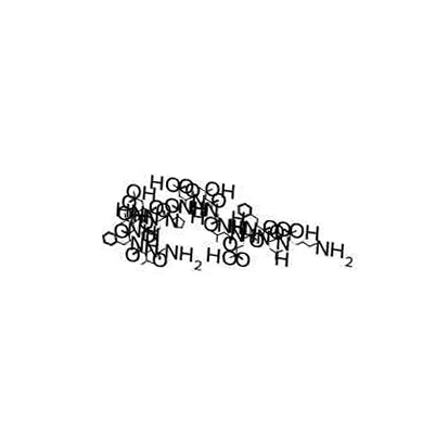 CC(C)C[C@H](NC(=O)[C@H](Cc1ccccc1)NC(=O)[C@H](CCC(=O)O)NC(=O)[C@@H](NC(=O)CNC(=O)[C@@H](NC(=O)[C@H](CC(=O)O)NC(=O)[C@@H]1CCCN1C(=O)[C@H](Cc1ccccc1)NC(=O)[C@H](CC(=O)O)NC(=O)[C@@H](NC(=O)[C@H](Cc1ccccc1)NC(=O)[C@@H](NC(=O)CN)C(C)C)[C@@H](C)O)[C@@H](C)O)C(C)C)C(=O)N[C@@H](CCCCN)C(=O)O